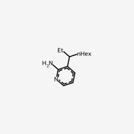 CCCCCCC(CC)c1cccnc1N